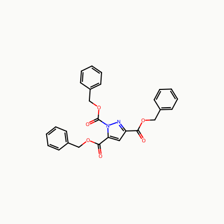 O=C(OCc1ccccc1)c1cc(C(=O)OCc2ccccc2)n(C(=O)OCc2ccccc2)n1